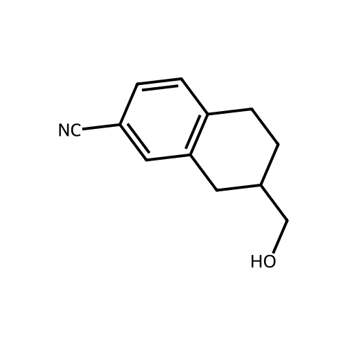 N#Cc1ccc2c(c1)CC(CO)CC2